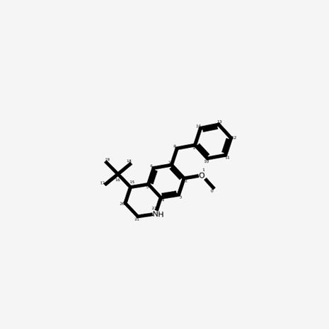 COc1cc2c(cc1Cc1ccccc1)C(C(C)(C)C)CCN2